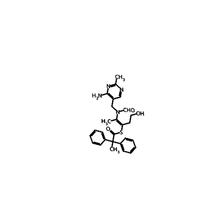 CC(=C(CCO)SC(=O)C(C)(c1ccccc1)c1ccccc1)N(C=O)Cc1cnc(C)nc1N